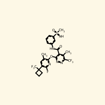 Cc1cc(C2(C(F)(F)F)CCC2)c(F)nc1Oc1nnc(C(F)(F)F)c(C)c1C(=O)Nc1cccc(S(C)(=N)=O)c1